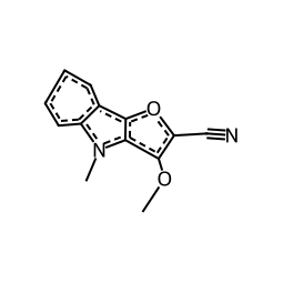 COc1c(C#N)oc2c3ccccc3n(C)c12